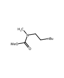 CCCCCCN(C)C(=O)OC